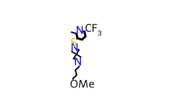 COCCCCN1CC2(C1)CN(Sc1ccc(C(F)(F)F)nc1C)C2